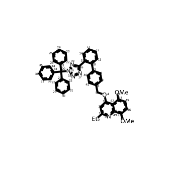 CCc1cc(OCc2ccc(-c3ccccc3-c3nnn(C(c4ccccc4)(c4ccccc4)c4ccccc4)n3)cc2)c2c(OC)ccc(OC)c2n1